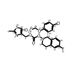 Cc1nc(COC(=O)ON2CCc3cc(F)ccc3[C@H]2c2cc(Cl)ccc2OCC(=O)O)cs1